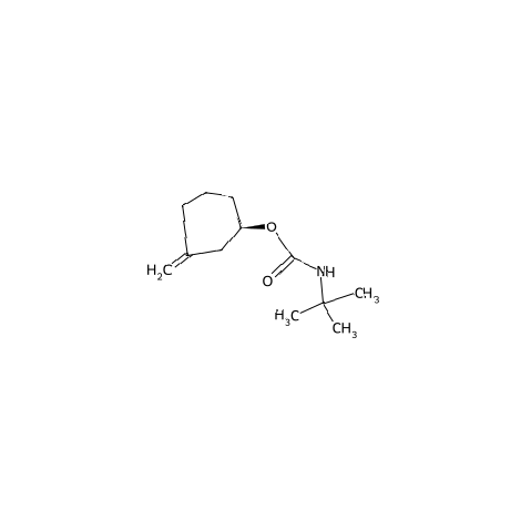 C=C1CCC[C@@H](OC(=O)NC(C)(C)C)C1